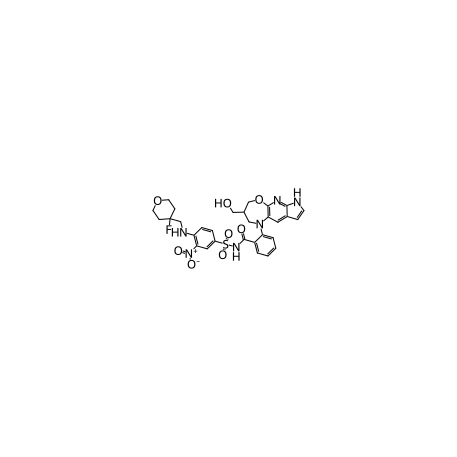 O=C(NS(=O)(=O)c1ccc(NCC2(F)CCOCC2)c([N+](=O)[O-])c1)c1ccccc1N1CC(CO)COc2nc3[nH]ccc3cc21